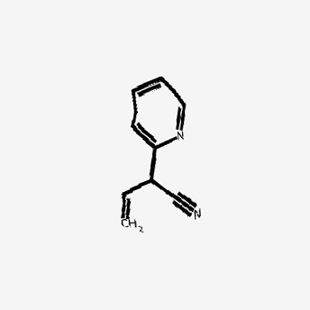 C=CC(C#N)c1ccccn1